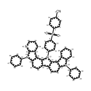 N#Cc1ccc(S(=O)(=O)c2ccc(-n3c4c(ccc5c4c4ccccc4n5-c4ccccc4)c4ccc5c(c6cccnc6n5-c5ccccc5)c43)cc2)cc1